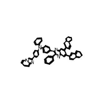 c1ccc(-c2nc3cc(-c4ccc5ccccc5c4)c(-c4ccc5ccccc5c4)cc3nc2-c2ccc(N(c3ccccc3)c3ccc(-c4cn5ccccc5n4)cc3)cc2)cc1